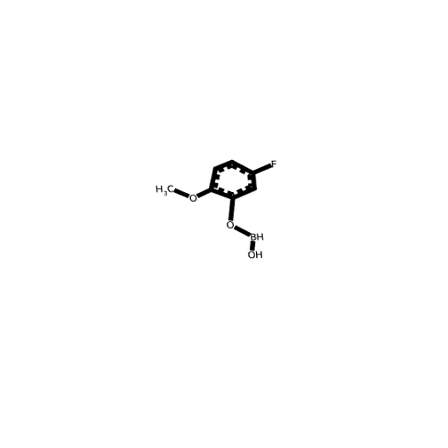 COc1ccc(F)cc1OBO